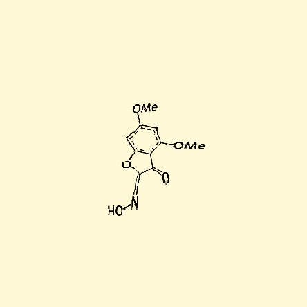 COc1cc(OC)c2c(c1)OC(=NO)C2=O